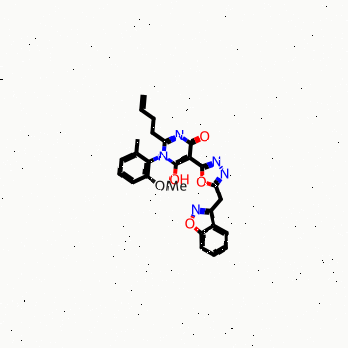 C=CCCc1nc(=O)c(-c2nnc(Cc3noc4ccccc34)o2)c(O)n1-c1c(C)cccc1OC